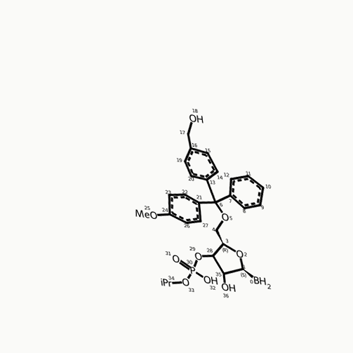 B[C@@H]1O[C@H](COC(c2ccccc2)(c2ccc(CO)cc2)c2ccc(OC)cc2)C(OP(=O)(O)OC(C)C)C1O